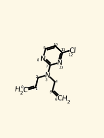 C=CCN(CC=C)c1nccc(Cl)n1